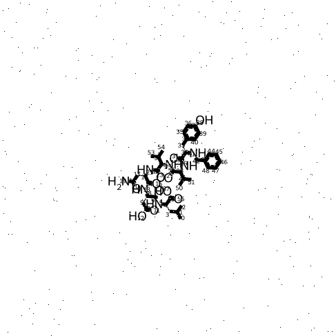 CC(C)C[C@H](NC(=O)[C@H](CC(=O)O)NC(=O)[C@H](CC(N)=O)NC(=O)[C@@H](NC(=O)[C@@H](NC(=O)[C@H](Cc1ccc(O)cc1)NCc1ccccc1)C(C)C)C(C)C)C(=O)O